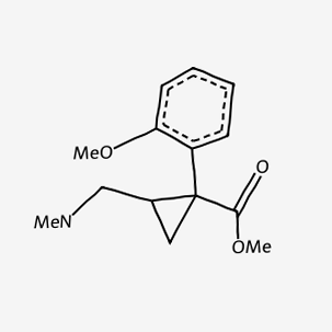 CNCC1CC1(C(=O)OC)c1ccccc1OC